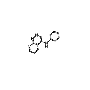 c1ccc(Nc2cnnc3ncccc23)cc1